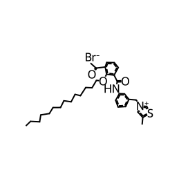 CCCCCCCCCCCCCCOc1c(C(C)=O)cccc1C(=O)Nc1cccc(C[n+]2csc(C)c2)c1.[Br-]